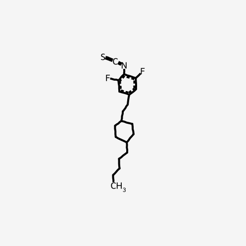 CCCCCC1CCC(CCc2cc(F)c(N=C=S)c(F)c2)CC1